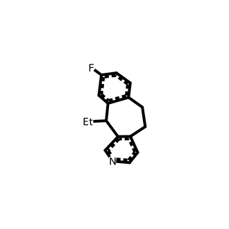 CCC1c2cnccc2CCc2ccc(F)cc21